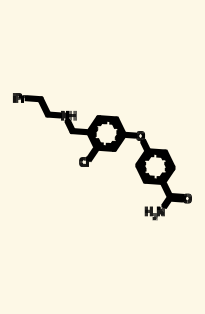 CC(C)CCNCc1ccc(Oc2ccc(C(N)=O)cc2)cc1Cl